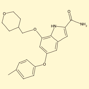 Cc1ccc(Oc2cc(OCC3CCOCC3)c3[nH]c(C(N)=O)cc3c2)cc1